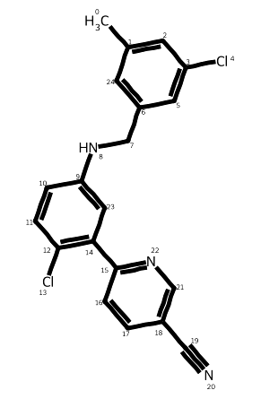 Cc1cc(Cl)cc(CNc2ccc(Cl)c(-c3ccc(C#N)cn3)c2)c1